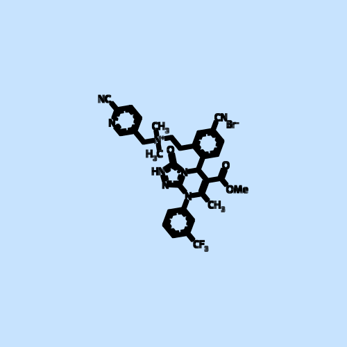 COC(=O)C1=C(C)N(c2cccc(C(F)(F)F)c2)c2n[nH]c(=O)n2C1c1ccc(C#N)cc1CC[N+](C)(C)Cc1ccc(C#N)nc1.[Br-]